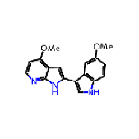 COc1ccc2[nH]cc(-c3cc4c(OC)ccnc4[nH]3)c2c1